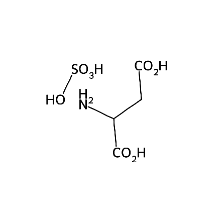 NC(CC(=O)O)C(=O)O.O=S(=O)(O)O